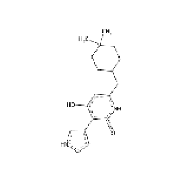 CC1(C)CCC(Cc2cc(O)c(-c3cc[nH]c3)c(=O)[nH]2)CC1